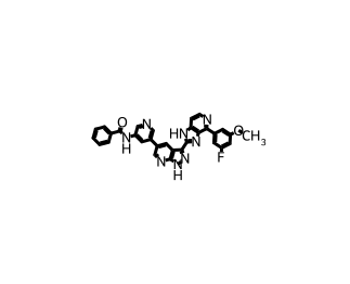 COc1cc(F)cc(-c2nccc3[nH]c(-c4n[nH]c5ncc(-c6cncc(NC(=O)c7ccccc7)c6)cc45)nc23)c1